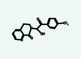 O=C(c1ccc(C(F)(F)F)cc1)C(O)N1CCc2cccnc2C1=O